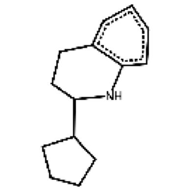 c1ccc2c(c1)CCC(C1CCCC1)N2